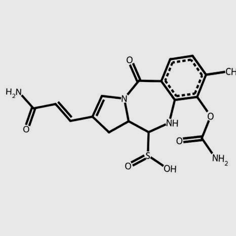 Cc1ccc2c(c1OC(N)=O)NC(S(=O)O)C1CC(C=CC(N)=O)=CN1C2=O